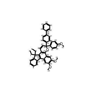 CCC1(CC)c2ccccc2-c2c1c1c(c3cc(OC)c(OC)cc23)OC(c2ccc(OC)cc2)(c2ccc(-c3ccccc3)cc2)C=C1